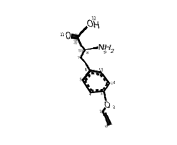 C=COc1ccc(C[C@H](N)C(=O)O)cc1